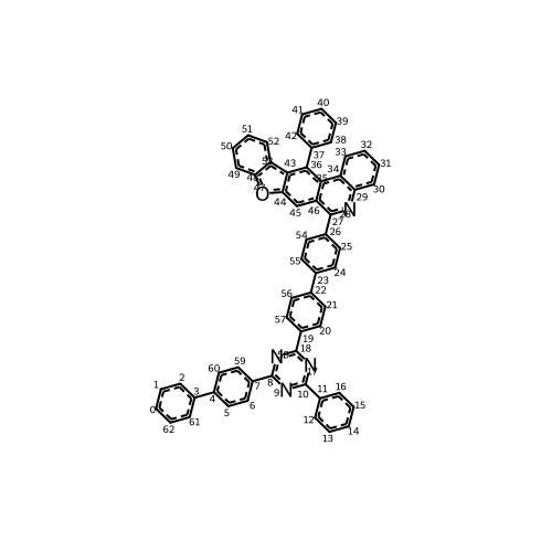 c1ccc(-c2ccc(-c3nc(-c4ccccc4)nc(-c4ccc(-c5ccc(-c6nc7ccccc7c7c(-c8ccccc8)c8c(cc67)oc6ccccc68)cc5)cc4)n3)cc2)cc1